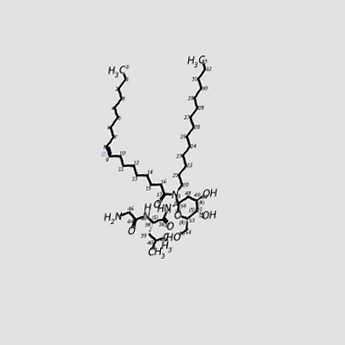 CCCCCCCC/C=C\CCCCCCCC(=O)N(CCCCCCCCCCCCCC)[C@@]1(NC(=O)[C@H](CC(C)C)NC(=O)CN)C[C@@H](O)[C@H](O)[C@@H](CO)O1